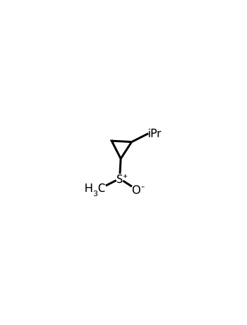 CC(C)C1CC1[S+](C)[O-]